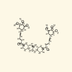 COc1cc(C#CC=CC(=O)N2CCC(CC(CC3CCN(C(=O)C=CC#Cc4cc(OC)c(OC)c(OC)c4)CC3)N(C)C)CC2)cc(OC)c1OC